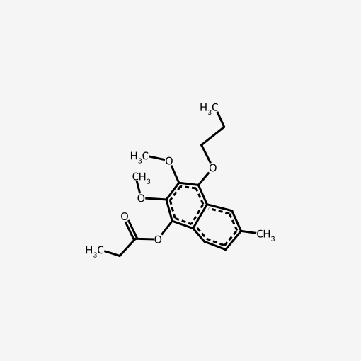 CCCOc1c(OC)c(OC)c(OC(=O)CC)c2ccc(C)cc12